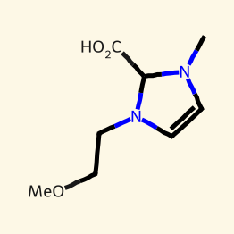 COCCN1C=CN(C)C1C(=O)O